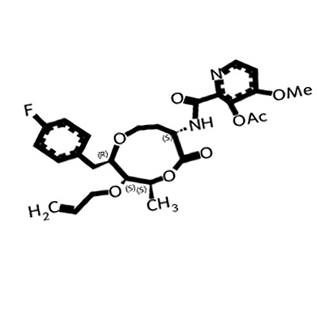 C=CCO[C@H]1[C@H](C)OC(=O)[C@@H](NC(=O)c2nccc(OC)c2OC(C)=O)CCO[C@@H]1Cc1ccc(F)cc1